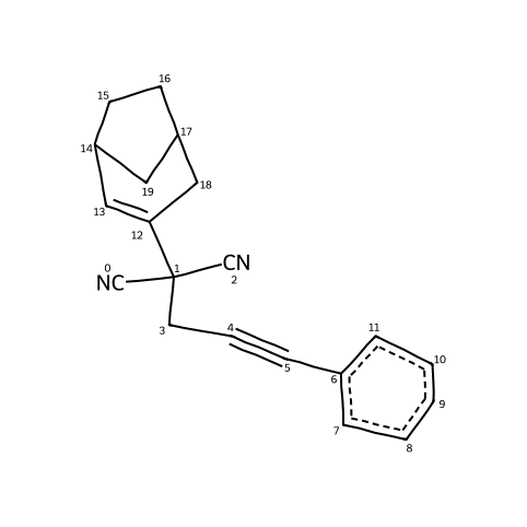 N#CC(C#N)(CC#Cc1ccccc1)C1=CC2CCC(C1)C2